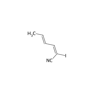 C/C=C/C=C(/I)C#N